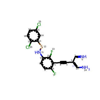 N=C/C(C#Cc1c(F)ccc(NSc2cc(Cl)ccc2Cl)c1F)=C\N